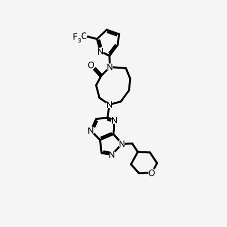 O=C1CCN(c2cnc3cnn(CC4CCOCC4)c3n2)CCCCN1c1cccc(C(F)(F)F)n1